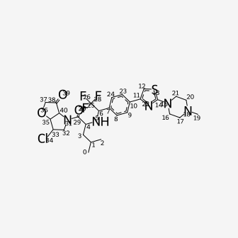 CC(C)CC(NC(c1ccc(-c2csc(N3CCN(C)CC3)n2)cc1)C(F)(F)F)C(=O)N1CC(Cl)C2OCC(=O)C21